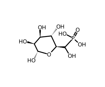 O=P(O)(O)C(O)[C@H]1O[C@H](O)[C@@H](O)[C@@H](O)[C@@H]1O